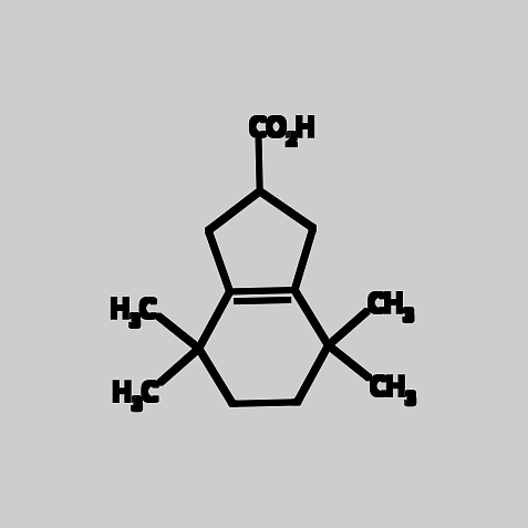 CC1(C)CCC(C)(C)C2=C1CC(C(=O)O)C2